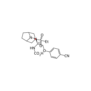 CCS(=O)(=O)N1CC2CCC(C1)N2C[C@@H](COc1ccc(C#N)cc1)NC(=O)O